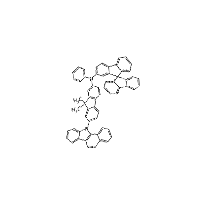 CC1(C)c2cc(N(c3ccccc3)c3ccc4c(c3)C3(c5ccccc5-c5ccccc53)c3ccccc3-4)ccc2-c2ccc(-n3c4ccccc4c4ccc5ccccc5c43)cc21